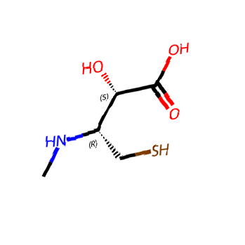 CN[C@@H](CS)[C@H](O)C(=O)O